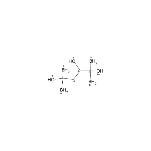 BC(B)(O)CC(O)C(B)(B)O